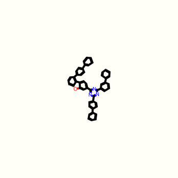 c1ccc(-c2ccc(-c3nc(-c4cccc(-c5ccccc5)c4)nc(-c4ccc5c(c4)oc4cccc(-c6ccc(-c7ccccc7)cc6)c45)n3)cc2)cc1